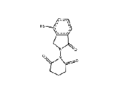 O=C1c2cccc(S)c2CN1N1C(=O)CCCC1=O